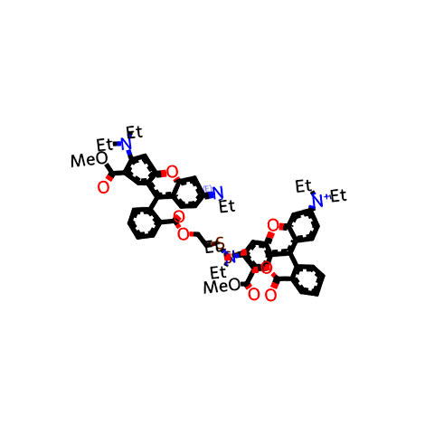 CC/N=c1\ccc2c(-c3ccccc3C(=O)OCCSSCCOC(=O)c3ccccc3-c3c4ccc(=[N+](CC)CC)cc-4oc4cc(N(CC)CC)c(C(=O)OC)cc34)c3cc(C(=O)OC)c(N(CC)CC)cc3oc-2c1